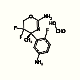 C[C@]1(c2cc(N)ccc2F)N=C(N)OCC1(F)F.O=CO